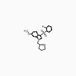 COc1ccc2c(S(=O)(=O)c3ccccc3F)cn(CC3CCCCN3)c2c1